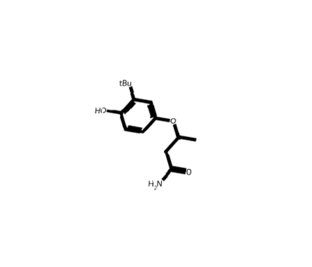 CC(CC(N)=O)Oc1ccc(O)c(C(C)(C)C)c1